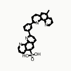 Cc1cc2ccc(-c3cccc(-c4ccc5cc(P(=O)(O)O)c6cccnc6c5n4)c3)nc2c2ncccc12